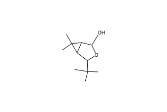 CC(C)(C)C1OC(O)C2C1C2(C)C